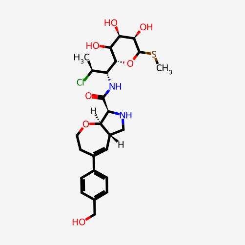 CSC1O[C@H]([C@H](NC(=O)[C@H]2NC[C@@H]3C=C(c4ccc(CO)cc4)CCO[C@@H]23)[C@H](C)Cl)C(O)[C@@H](O)[C@H]1O